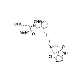 CNC(=O)C(CCC=O)N(C=O)Cc1c(C)cccc1CCCCCN1CCC2(CC1)C(=O)Nc1cccc(Cl)c12